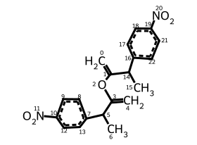 C=C(OC(=C)C(C)c1ccc([N+](=O)[O-])cc1)C(C)c1ccc([N+](=O)[O-])cc1